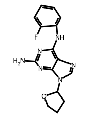 Nc1nc(Nc2ccccc2F)c2ncn(C3CCCO3)c2n1